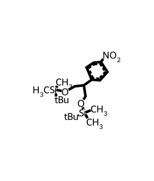 CC(C)(C)[Si](C)(C)OCC(CO[Si](C)(C)C(C)(C)C)c1ccc([N+](=O)[O-])cc1